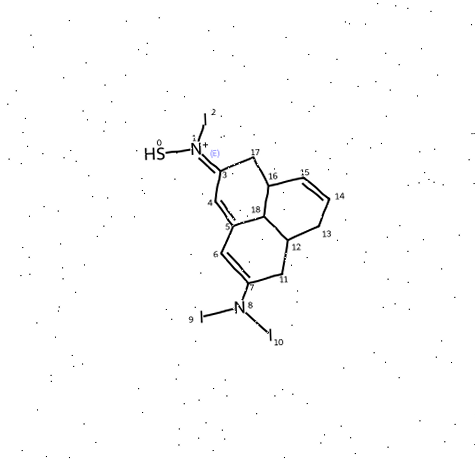 S/[N+](I)=C1\C=C2C=C(N(I)I)CC3CC=CC(C1)C23